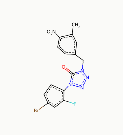 Cc1cc(Cn2nnn(-c3ccc(Br)cc3F)c2=O)ccc1[N+](=O)[O-]